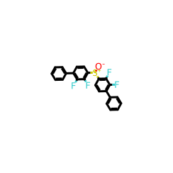 [O-][S+](c1ccc(-c2ccccc2)c(F)c1F)c1ccc(-c2ccccc2)c(F)c1F